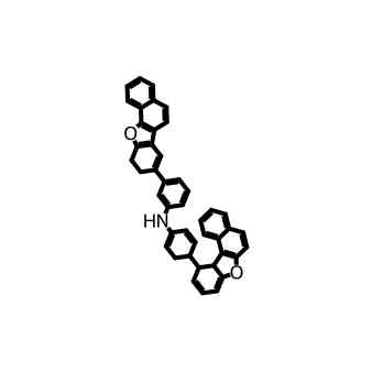 C1=CC(C2C=CC(Nc3cccc(C4=Cc5c(oc6c5ccc5ccccc56)CC4)c3)=CC2)C2C(=C1)Oc1ccc3ccccc3c12